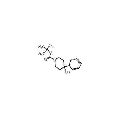 CC(C)(C)OC(=O)N1CCC(O)(C2C=CC=NC2)CC1